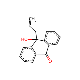 C=CCC1(O)c2ccccc2C(=O)c2ccccc21